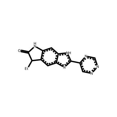 CCC1C(=O)Nc2cc3[nH]c(-c4cnncn4)nc3cc21